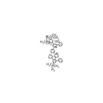 CC(C)(C)c1cc(-c2cc(-c3cccc(-c4cc(-c5c(-c6ccccc6)cc(C(C)(C)C)cc5-c5ccccc5)ccn4)c3)nc(-c3ccccc3O)c2)cc(C(C)(C)C)c1